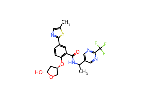 Cc1cnc(-c2ccc(O[C@H]3CO[C@H](O)C3)c(C(=O)NC(C)c3cnc(C(F)(F)F)nc3)c2)s1